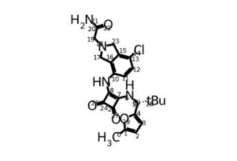 Cc1ccc([C@H](Nc2c(Nc3ccc(Cl)c4c3CN(CC(N)=O)C4)c(=O)c2=O)C(C)(C)C)o1